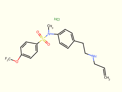 C=CCNCCc1ccc(N(C)S(=O)(=O)c2ccc(OC(F)(F)F)cc2)cc1.Cl